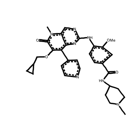 COc1cc(C(=O)NC2CCN(C)CC2)ccc1Nc1ncc2c(n1)c(-c1ccncc1)c(OCC1CC1)c(=O)n2C